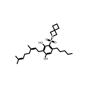 CCCCCc1cc(O)c(CC=C(C)CCC=C(C)C)c(O)c1S(=O)(=O)N1CC2(CCC2)C1